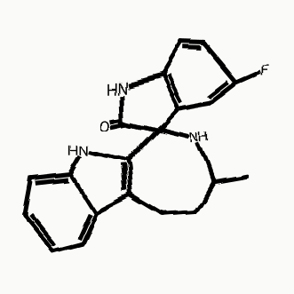 CC1CCc2c([nH]c3ccccc23)C2(N1)C(=O)Nc1ccc(F)cc12